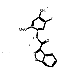 COc1cc(C)c(F)cc1NC(=O)c1nsc2ccccc12